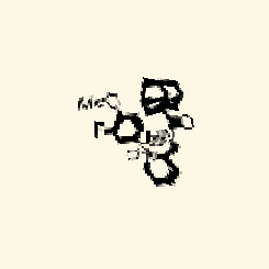 COc1ccc(S(=O)(=O)N2CCCCC2CNC(=O)C23CC4CC(CC(C4)C2)C3)cc1F